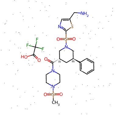 CS(=O)(=O)N1CCN(C(=O)[C@H]2C[C@H](c3ccccc3)CN(S(=O)(=O)c3ncc(CN)s3)C2)CC1.O=C(O)C(F)(F)F